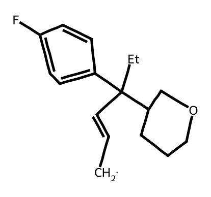 [CH2]C=CC(CC)(c1ccc(F)cc1)C1CCCOC1